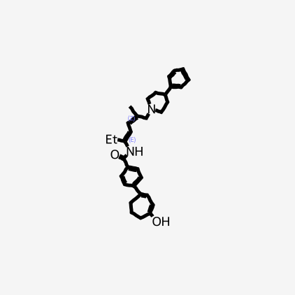 CC/C(=C\C=C(\C)CN1CCC(c2ccccc2)CC1)NC(=O)c1ccc(C2=CC=C(O)CCC2)cc1